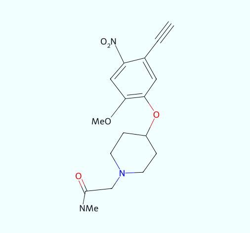 C#Cc1cc(OC2CCN(CC(=O)NC)CC2)c(OC)cc1[N+](=O)[O-]